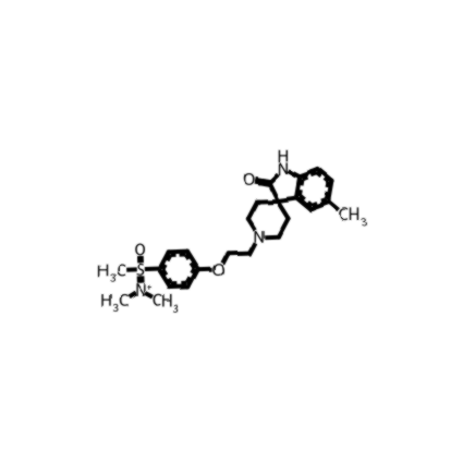 Cc1ccc2c(c1)C1(CCN(CCOc3ccc(S(C)(=O)=[N+](C)C)cc3)CC1)C(=O)N2